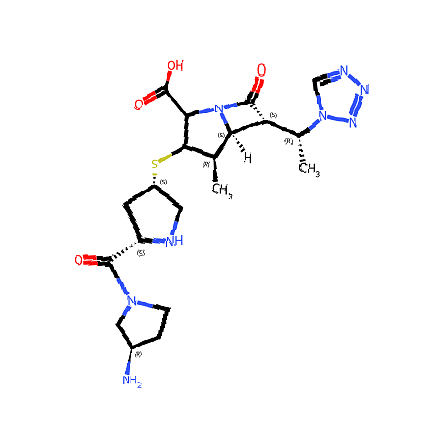 C[C@H]([C@H]1C(=O)N2C(C(=O)O)C(S[C@@H]3CN[C@H](C(=O)N4CC[C@@H](N)C4)C3)[C@H](C)[C@H]12)n1cnnn1